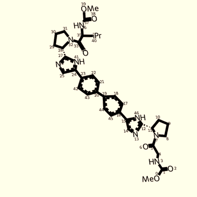 COC(=O)NCC(=O)N1CCC[C@H]1c1ncc(-c2ccc(-c3ccc(-c4cnc([C@@H]5CCCN5C(=O)C(NC(=O)OC)C(C)C)[nH]4)cc3)cc2)[nH]1